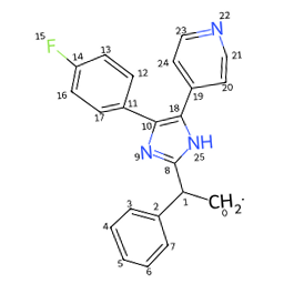 [CH2]C(c1ccccc1)c1nc(-c2ccc(F)cc2)c(-c2ccncc2)[nH]1